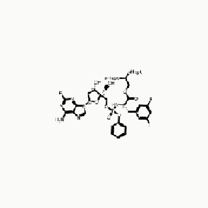 C#C[C@]1(COP(=O)(N[C@@H](Cc2cc(F)cc(F)c2)C(=O)OCC(CCCCCCC)CCCCCCC)Oc2ccccc2)O[C@@H](n2cnc3c(N)nc(F)nc32)C[C@@H]1O